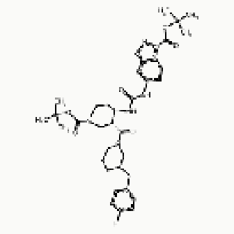 CC(C)(C)OC(=O)N1CC[C@@H](NC(=O)Nc2ccc3c(cnn3C(=O)OC(C)(C)C)c2)[C@H](C(=O)N2CCCC(Cc3ccc(F)cc3)C2)C1